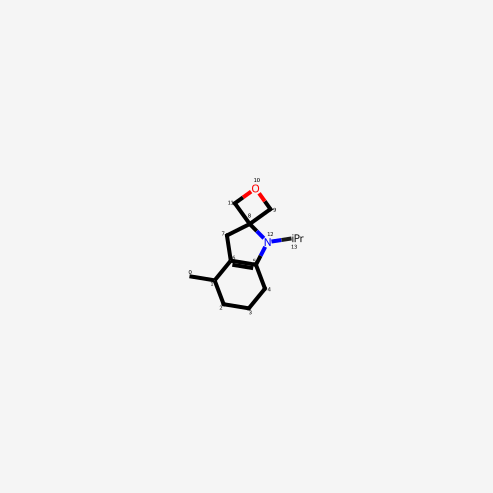 CC1CCCC2=C1CC1(COC1)N2C(C)C